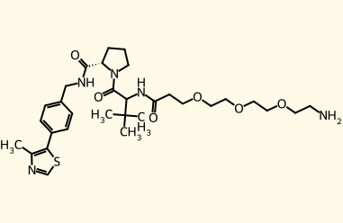 Cc1ncsc1-c1ccc(CNC(=O)[C@@H]2CCCN2C(=O)C(NC(=O)CCOCCOCCOCCN)C(C)(C)C)cc1